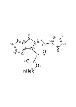 CCCCCCOC(=O)CN1/C(=C\C(=O)c2cccs2)Sc2ccccc21